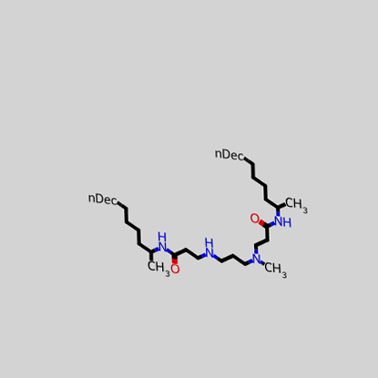 CCCCCCCCCCCCCCC(C)NC(=O)CCNCCCN(C)CCC(=O)NC(C)CCCCCCCCCCCCCC